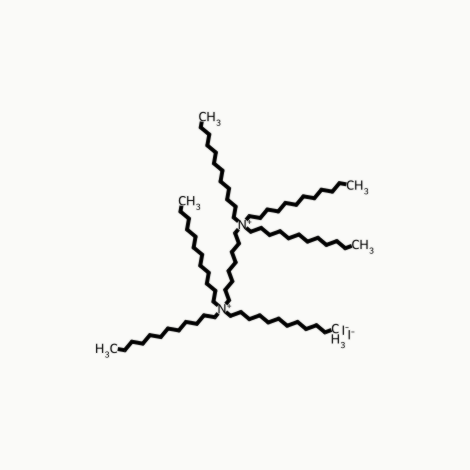 CCCCCCCCCCCC[N+](CCCCCCCCCCCC)(CCCCCCCCCCCC)CCCCCCCC[N+](CCCCCCCCCCCC)(CCCCCCCCCCCC)CCCCCCCCCCCC.[I-].[I-]